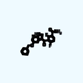 NC(=O)c1ccc(F)c(C(=O)c2c[nH]c3ncc(OCc4ccccc4)cc23)c1F